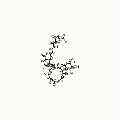 CO[C@]1(C)CC(O[C@H]2[C@H](C)[C@@H](O[C@@H]3O[C@H](C)C[C@H](N(C)C)[C@H]3OCCCNC(=O)c3sc(C(C)C)nc3C)[C@](C)(O)C[C@@H](C)CN(C)C(=O)CCOC(=O)[C@@H]2C)O[C@@H](C)[C@@H]1O